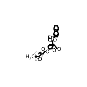 CCC(C)(C)C(=O)OCC(=O)OC1C2CC3C1OC(=O)C3C2C(=O)OC1(CC)CC2CC1C1C3CCC(C3)C21